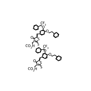 O=C(O)CN1C(=O)C(=Cc2ccc(OCCc3ccccc3)c(O[C@@H](c3ccccc3)C(F)(F)F)c2)SC1=S.O=C(O)CN1C(=O)C(=Cc2ccc(OCCc3ccccc3)c(O[C@H](c3ccccc3)C(F)(F)F)c2)SC1=S